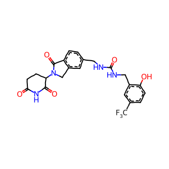 O=C1CCC(N2Cc3cc(CNC(=O)NCc4cc(C(F)(F)F)ccc4O)ccc3C2=O)C(=O)N1